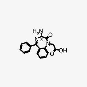 N[C@@H]1N=C(c2ccccc2)c2ccccc2N(CC(=O)O)C1=O